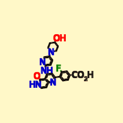 O=C(O)c1ccc(-c2cc(Nc3ccc(N4CCC(O)CC4)cn3)c3c(=O)[nH]ccc3n2)c(F)c1